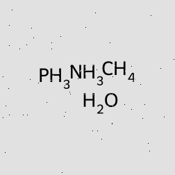 C.N.O.P